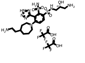 NCCC1CCCN(c2ccc(S(=O)(=O)NC[C@H](O)CN)c(S(N)(=O)=O)c2-c2nn[nH]n2)CC1.O=C(O)C(F)(F)F.O=C(O)C(F)(F)F